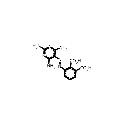 Nc1nc(N)c(N=Nc2cccc(C(=O)O)c2C(=O)O)c(N)n1